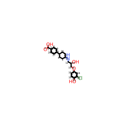 O=C(O)c1ccc(C2CCC(NC[C@H](O)COc3ccc(O)c(Cl)c3)CC2)cc1